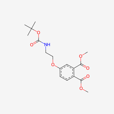 COC(=O)c1ccc(OCCNC(=O)OC(C)(C)C)cc1C(=O)OC